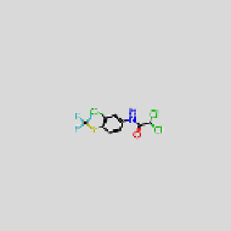 O=C(Nc1ccc(SC(F)(F)F)c(Cl)c1)C(Cl)Cl